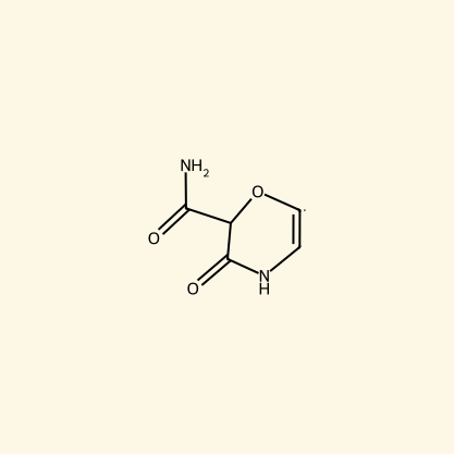 NC(=O)C1O[C]=CNC1=O